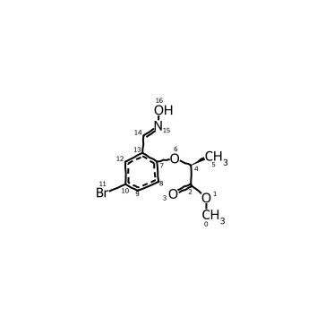 COC(=O)[C@H](C)Oc1ccc(Br)cc1/C=N/O